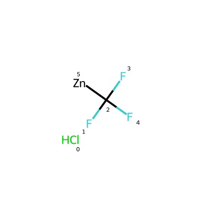 Cl.F[C](F)(F)[Zn]